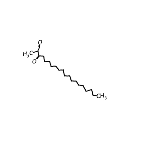 CCCCCCCCCCCCCCCCCC(=O)C(C)C=O